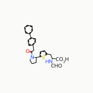 O=CNC(Cc1ccc(C2CCCN2C(=O)Cc2ccc(-c3ccccc3)cc2)s1)C(=O)O